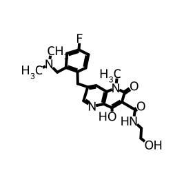 CN(C)Cc1cc(F)ccc1Cc1cnc2c(O)c(C(=O)NCCO)c(=O)n(C)c2c1